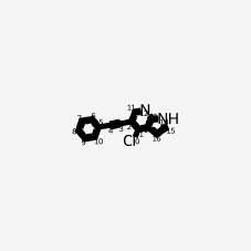 Clc1c(C#Cc2ccccc2)cnc2[nH]ccc12